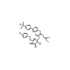 CCN(CC)CCN(Cc1ccc(-c2ccc(C(F)(F)F)cc2)nc1)C(=O)Cc1nc(SCc2ccc(F)cc2)[nH]c(=O)c1Cl